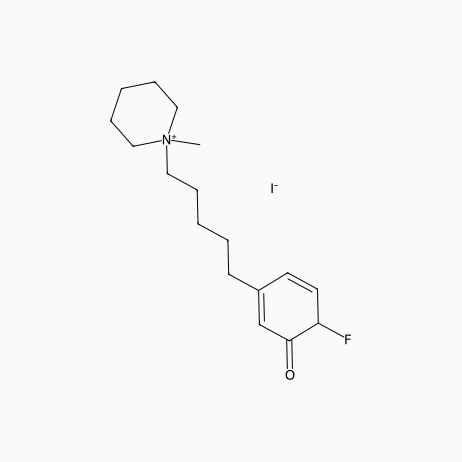 C[N+]1(CCCCCC2=CC(=O)C(F)C=C2)CCCCC1.[I-]